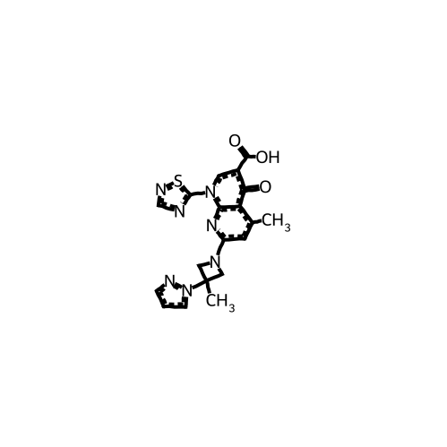 Cc1cc(N2CC(C)(n3cccn3)C2)nc2c1c(=O)c(C(=O)O)cn2-c1ncns1